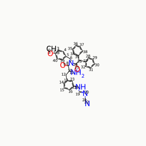 COc1ccc(CN(C(=O)C(N)Cc2cccc(N/C=N/C#N)c2)C(=O)C(c2ccccc2)c2ccccc2)cc1